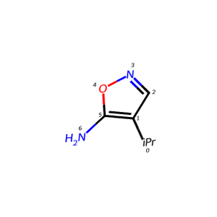 CC(C)c1cnoc1N